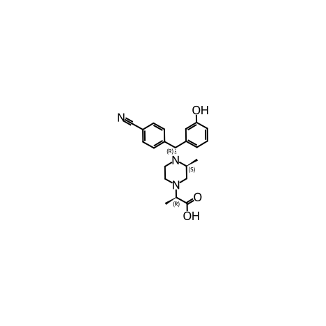 C[C@H](C(=O)O)N1CCN([C@H](c2ccc(C#N)cc2)c2cccc(O)c2)[C@@H](C)C1